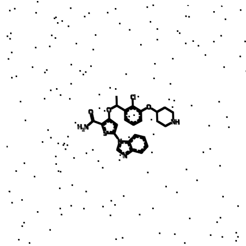 CC(Oc1cc(-n2cnc3ccccc32)sc1C(N)=O)c1cccc(OC2CCNCC2)c1Cl